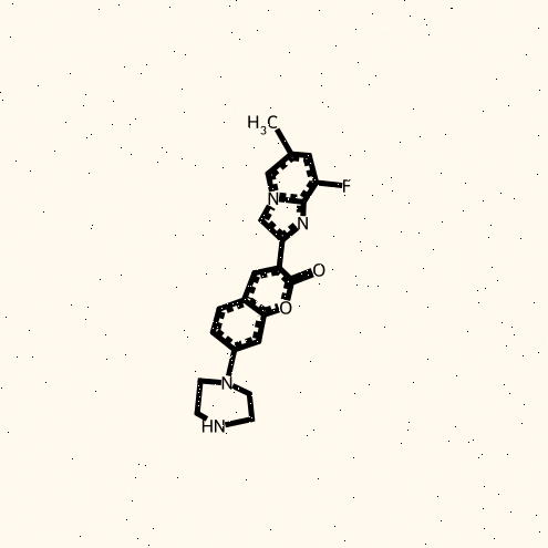 Cc1cc(F)c2nc(-c3cc4ccc(N5CCNCC5)cc4oc3=O)cn2c1